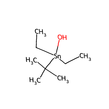 C[CH2][Sn]([OH])([CH2]C)[C](C)(C)C